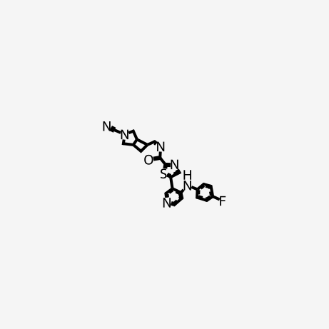 N#CN1CC2CC(/C=N\C(=O)c3ncc(-c4cnccc4Nc4ccc(F)cc4)s3)C2C1